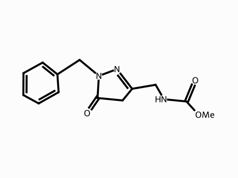 COC(=O)NCC1=NN(Cc2ccccc2)C(=O)C1